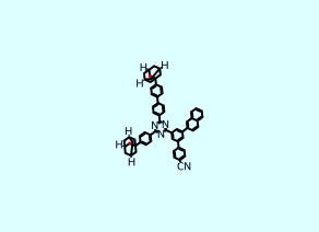 N#Cc1ccc(-c2cc(-c3ccc4ccccc4c3)cc(-c3nc(-c4ccc(-c5ccc(C67C[C@H]8C[C@H](C6)C[C@@H](C7)C8)cc5)cc4)nc(-c4ccc(C56C[C@H]7C[C@@H](C5)C[C@@H](C6)C7)cc4)n3)c2)cc1